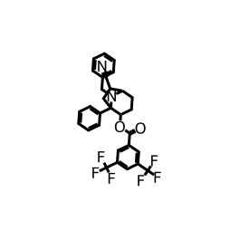 N#CC1CC2(c3ccccc3)C(OC(=O)c3cc(C(F)(F)F)cc(C(F)(F)F)c3)CCC1N2Cc1ccccc1